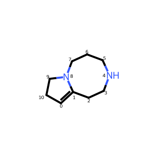 C1=C2CCNCCCN2CC1